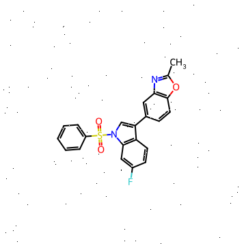 Cc1nc2cc(-c3cn(S(=O)(=O)c4ccccc4)c4cc(F)ccc34)ccc2o1